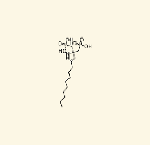 CCCCCCCCCCCC(N)(CP(=O)(O)O)CP(=O)(O)O